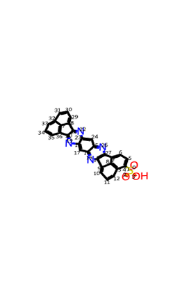 O=S(=O)(O)c1ccc2c3c(cccc13)-c1nc3cc4nc5c(nc4cc3nc1-2)-c1cccc2cccc-5c12